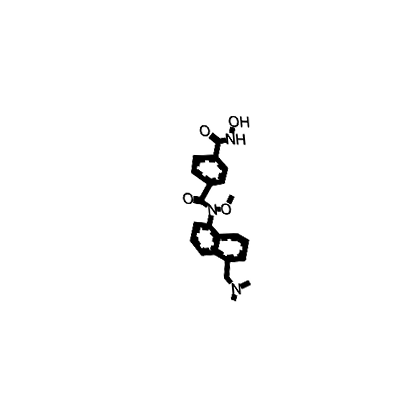 CON(C(=O)c1ccc(C(=O)NO)cc1)c1cccc2c(CN(C)C)cccc12